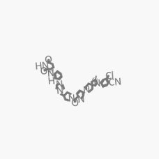 C[C@@H]1CC2(CCN(c3ccc(C(=O)N4CCC(CN5CCN(c6cccc(N[C@H]7CCC(=O)NC7=O)c6)CC5)CC4)nc3)CC2)CN1c1ccc(C#N)c(Cl)c1